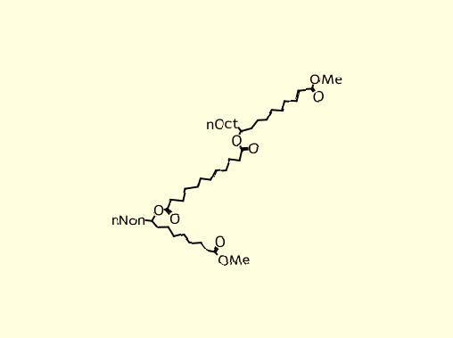 CCCCCCCCCC(CCCCCCCC(=O)OC)OC(=O)CCCCCCCCCCC(=O)OC(CCCCCCCC)CCCCCCCCC(=O)OC